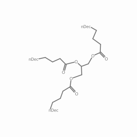 CCCCCCCCCCCCCC(=O)OCC(COC(=O)CCCCCCCCCCCCC)OC(=O)CCCCCCCCCCCCC